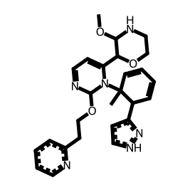 COC1NCCOC1C1=CC=NC(OCCc2ccccn2)N1C1(C)C=CC=CC1c1cc[nH]n1